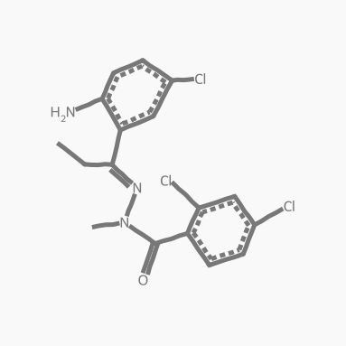 CC/C(=N\N(C)C(=O)c1ccc(Cl)cc1Cl)c1cc(Cl)ccc1N